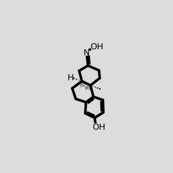 C[C@@]12CCC(=NO)C[C@@H]1CCc1cc(O)ccc12